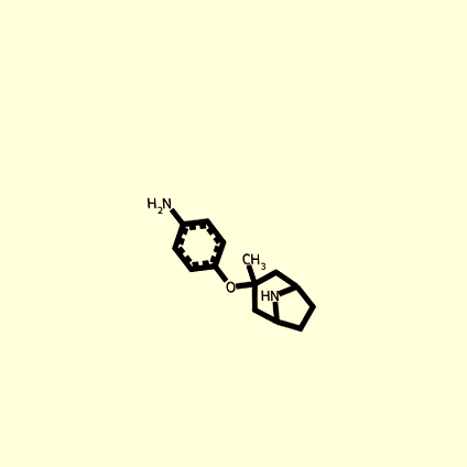 CC1(Oc2ccc(N)cc2)CC2CCC(C1)N2